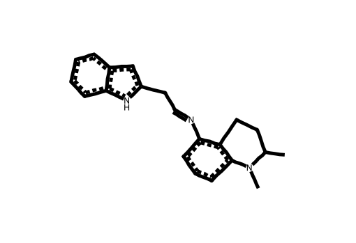 CC1CCc2c(/N=C/Cc3cc4ccccc4[nH]3)cccc2N1C